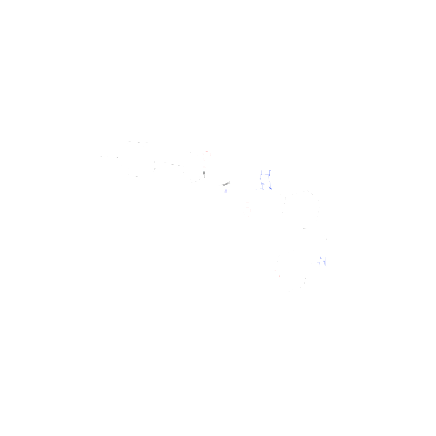 Cc1ccc(-c2coc(/C=C/C(=O)NC3CCC(CN(C)C4CCOCC4)CC3)c2)cc1